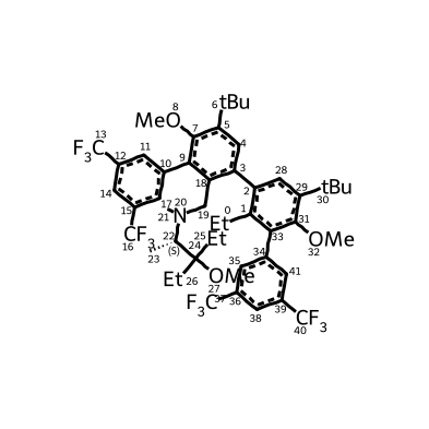 CCc1c(-c2cc(C(C)(C)C)c(OC)c(-c3cc(C(F)(F)F)cc(C(F)(F)F)c3)c2CN(C)[C@@H](C)C(CC)(CC)OC)cc(C(C)(C)C)c(OC)c1-c1cc(C(F)(F)F)cc(C(F)(F)F)c1